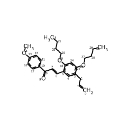 C=CCc1cc(C=CC(=O)c2ccc(OC)cc2)c(OCCCC)cc1OCCCC